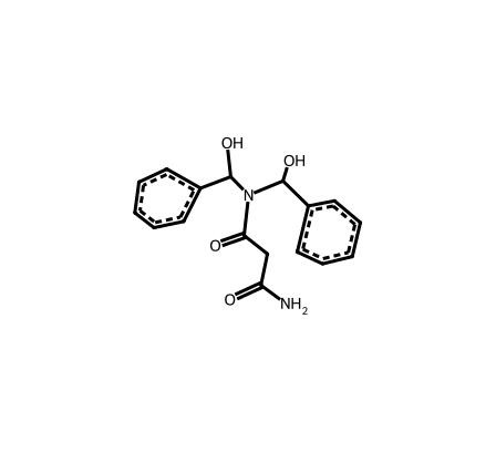 NC(=O)CC(=O)N(C(O)c1ccccc1)C(O)c1ccccc1